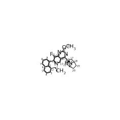 C=Cc1cccc2cccc(-c3ncc4c(N5CC6CCC(C5)N6)nc(OC)nc4c3F)c12